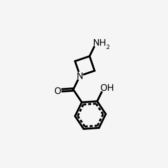 NC1CN(C(=O)c2ccccc2O)C1